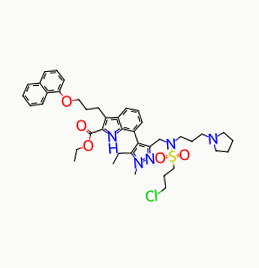 CCOC(=O)c1[nH]c2c(-c3c(CN(CCCN4CCCC4)S(=O)(=O)CCCCl)nn(C)c3CC)cccc2c1CCCOc1cccc2ccccc12